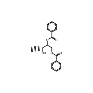 C=C.C=C.C=C.O=C(OCC(CO)OC(=O)c1ccccc1)c1ccccc1